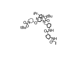 C=CC(=O)Nc1cccc(C(=O)Nc2cccc(CN(C(=O)OC(C)(C)C)c3cc(OC4CCCN(C(=O)OC(C)(C)C)C4)nc4c(C(C)C)cnn34)c2)c1